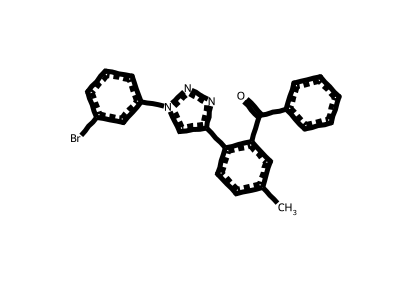 Cc1ccc(-c2cn(-c3cccc(Br)c3)nn2)c(C(=O)c2ccccc2)c1